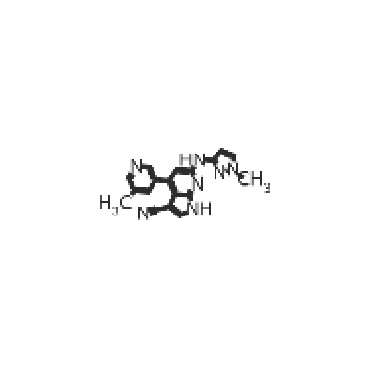 Cc1cncc(-c2cc(Nc3ccn(C)n3)nc3[nH]cc(C#N)c23)c1